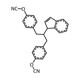 N#COc1ccc(CC(Cc2ccc(OC#N)cc2)C2C=Cc3ccccc32)cc1